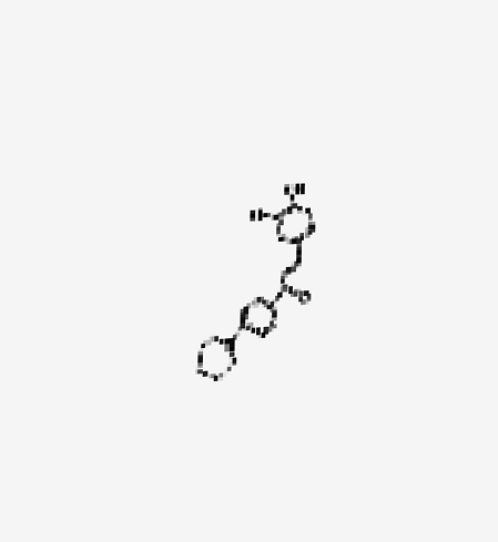 O=C(C=Cc1ccc(O)c(Cl)c1)c1ccc(N2CCCCC2)cc1